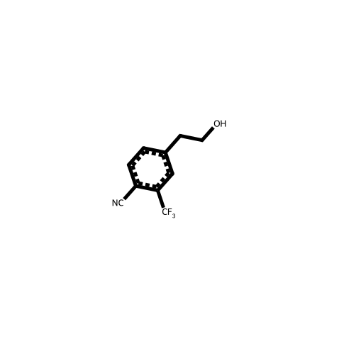 N#Cc1ccc(CCO)cc1C(F)(F)F